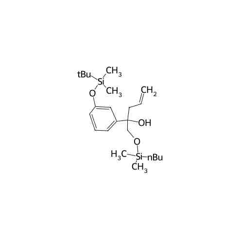 C=CCC(O)(CO[Si](C)(C)CCCC)c1cccc(O[Si](C)(C)C(C)(C)C)c1